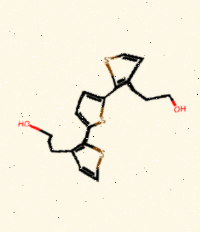 OCCc1ccsc1-c1ccc(-c2sccc2CCO)s1